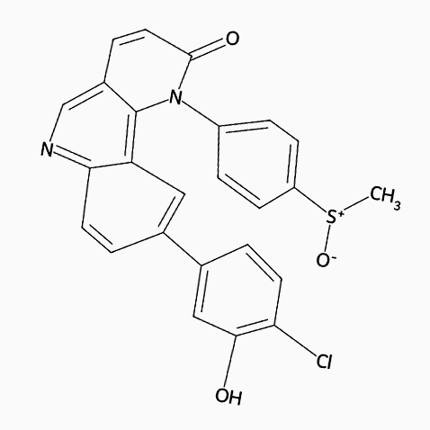 C[S+]([O-])c1ccc(-n2c(=O)ccc3cnc4ccc(-c5ccc(Cl)c(O)c5)cc4c32)cc1